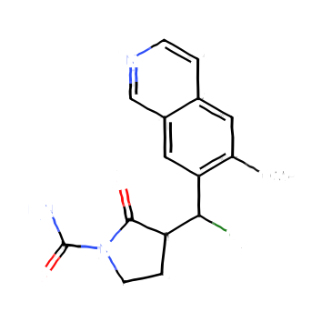 COc1cc2ccncc2cc1C(Cl)[C]1CCN(C(N)=O)C1=O